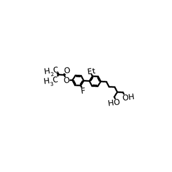 C=C(C)C(=O)Oc1ccc(-c2ccc(CCCC(CO)CO)cc2CC)c(F)c1